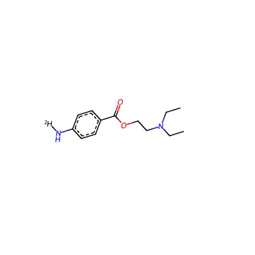 [2H]Nc1ccc(C(=O)OCCN(CC)CC)cc1